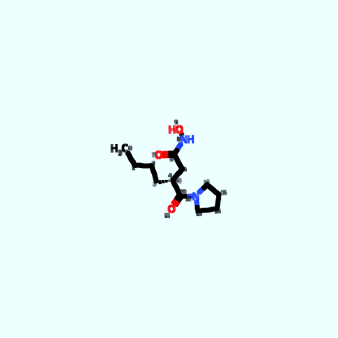 CCCC[C@H](CC(=O)NO)C(=O)N1CCCC1